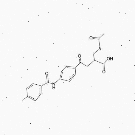 CC(=O)SCC(CC(=O)c1ccc(NC(=O)c2ccc(C)cc2)cc1)C(=O)O